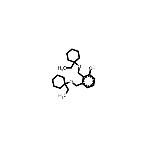 CCC1(OCc2cccc(O)c2COC2(CC)CCCCC2)CCCCC1